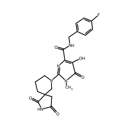 Cn1c(N2CCCC3(CC(=O)NC3=O)C2)nc(C(=O)NCc2ccc(F)cc2)c(O)c1=O